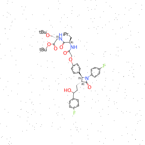 CC(C)C[C@@H](NC(=O)COc1ccc([C@@H]2[C@@H](CCC(O)c3ccc(F)cc3)C(=O)N2c2ccc(F)cc2)cc1)C(=O)N[C@@H](COC(C)(C)C)C(=O)OC(C)(C)C